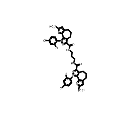 O=C(NCCCNC(=O)c1nn(-c2ccc(Cl)cc2Cl)c2c1CCCc1cc(S(=O)(=O)O)sc1-2)c1nn(-c2ccc(Cl)cc2Cl)c2c1CCCc1cc(S(=O)(=O)O)sc1-2